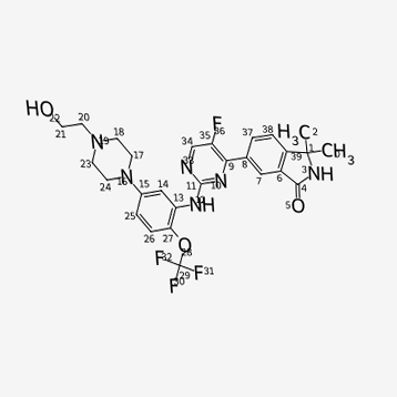 CC1(C)NC(=O)c2cc(-c3nc(Nc4cc(N5CCN(CCO)CC5)ccc4OC(F)(F)F)ncc3F)ccc21